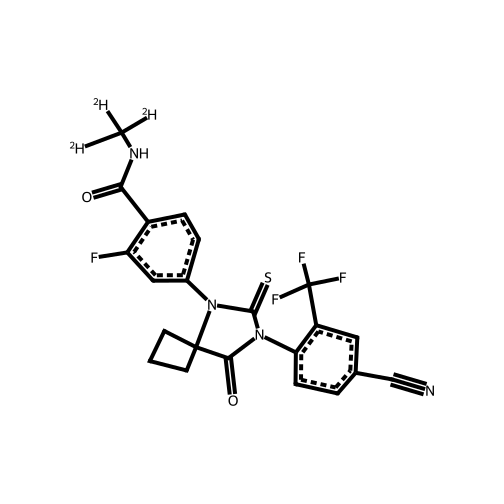 [2H]C([2H])([2H])NC(=O)c1ccc(N2C(=S)N(c3ccc(C#N)cc3C(F)(F)F)C(=O)C23CCC3)cc1F